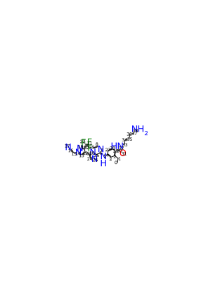 CCc1cc(Nc2nccn3c(-c4cn(CC#N)nc4C(F)(F)F)cnc23)ccc1C(=O)NCCCCCN